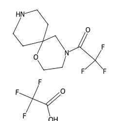 O=C(N1CCOC2(CCNCC2)C1)C(F)(F)F.O=C(O)C(F)(F)F